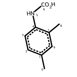 Cc1ccc(NC(=O)O)c(C)c1